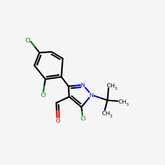 CC(C)(C)n1nc(-c2ccc(Cl)cc2Cl)c(C=O)c1Cl